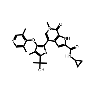 Cc1cncc(C)c1Oc1c(-c2cn(C)c(=O)c3[nH]c(C(=O)NC4CC4)cc23)sc(C(C)(C)O)c1C